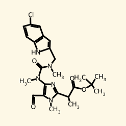 CC(C(=O)OC(C)(C)C)c1nc(N(C)C(=O)N(C)Cc2cc3cc(Cl)ccc3[nH]2)c(C=O)n1C